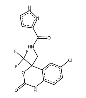 O=C1Nc2ccc(Cl)cc2C(CNC(=O)c2cc[nH]n2)(C(F)(F)F)O1